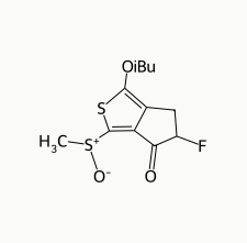 CC(C)COc1sc([S+](C)[O-])c2c1CC(F)C2=O